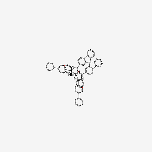 c1ccc(-c2ccc(C3=NC(c4ccc5c(c4)C4(c6ccccc6-5)c5ccccc5-c5ccc(-c6nc(-c7ccccc7)nc(-c7ccc(-c8ccccc8)cc7)n6)cc54)=NC(c4ccccc4)N3)cc2)cc1